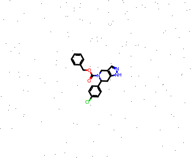 O=C(OCc1ccccc1)N1Cc2cn[nH]c2CC1c1ccc(Cl)cc1